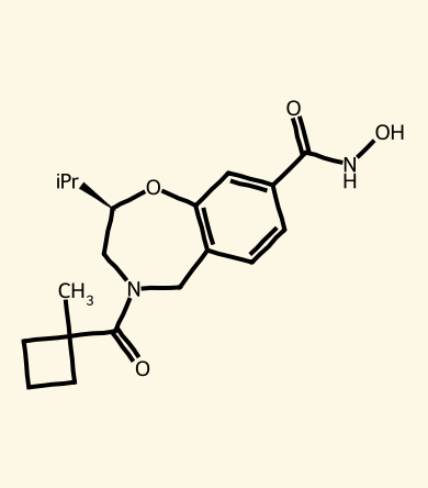 CC(C)[C@@H]1CN(C(=O)C2(C)CCC2)Cc2ccc(C(=O)NO)cc2O1